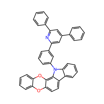 c1ccc(-c2cc(-c3ccccc3)nc(-c3cccc(-n4c5ccccc5c5ccc6c(c54)Oc4ccccc4O6)c3)c2)cc1